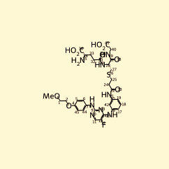 COCCOc1ccc(Nc2ncc(F)c(Nc3cccc(NC(=O)CCSC[C@H](NC(=O)CC[C@H](N)C(=O)O)C(=O)NCC(=O)O)c3)n2)cc1